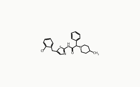 CC1CCN(C(C(=O)Nc2ncc(Cc3ccccc3Cl)s2)c2ccccc2)CC1